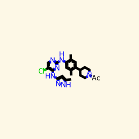 CC(=O)N1CCC(c2cc(C)c(Nc3ncc(Cl)c(Nc4cc(C)[nH]n4)n3)cc2C)CC1